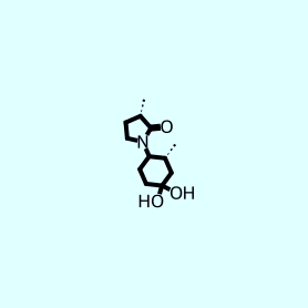 C[C@@H]1CC(O)(O)CCC1N1CC[C@H](C)C1=O